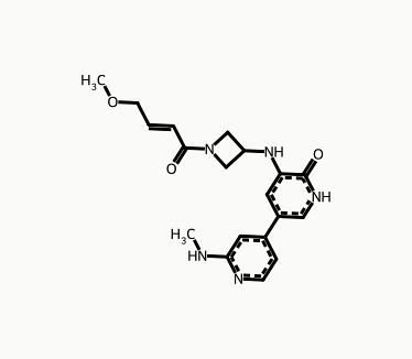 CNc1cc(-c2c[nH]c(=O)c(NC3CN(C(=O)C=CCOC)C3)c2)ccn1